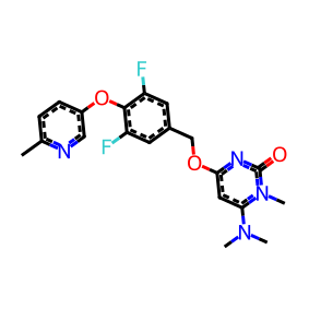 Cc1ccc(Oc2c(F)cc(COc3cc(N(C)C)n(C)c(=O)n3)cc2F)cn1